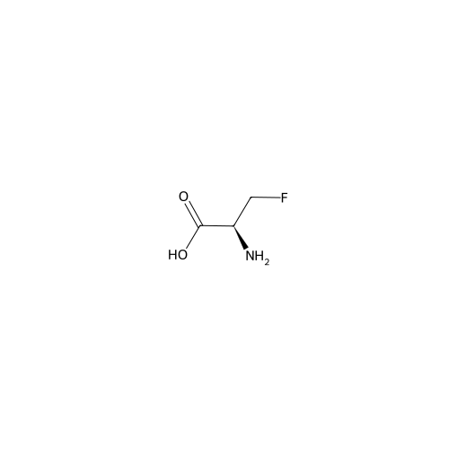 N[C@H](CF)C(=O)O